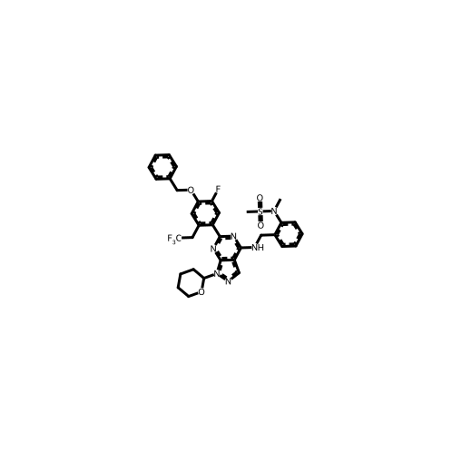 CN(c1ccccc1CNc1nc(-c2cc(F)c(OCc3ccccc3)cc2CC(F)(F)F)nc2c1cnn2C1CCCCO1)S(C)(=O)=O